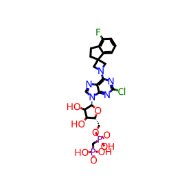 O=P(O)(O)CP(=O)(O)OC[C@H]1O[C@@H](n2cnc3c(N4CC5(CCc6c(F)cccc65)C4)nc(Cl)nc32)C(O)C1O